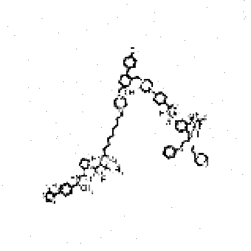 Cc1ncsc1-c1ccc([C@H](C)NC(=O)[C@@H]2CCCN2C(=O)C(NC(=O)CCCCCCCCN2CCN(CC3(C)CCC(c4ccc(Cl)cc4)=C(CN4CCN(c5ccc(C(=O)NS(=O)(=O)c6ccc(N[C@H](CCN7CCOCC7)CSc7ccccc7)c(S(=O)(=O)C(F)(F)F)c6)cc5)CC4)C3)CC2)C(C)(C)C)cc1